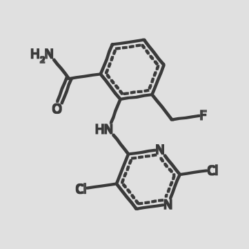 NC(=O)c1cccc(CF)c1Nc1nc(Cl)ncc1Cl